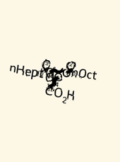 CCCCCCCCC(=O)OCC(COC(=O)CCCCCCC)OC(=O)CCC(=O)O